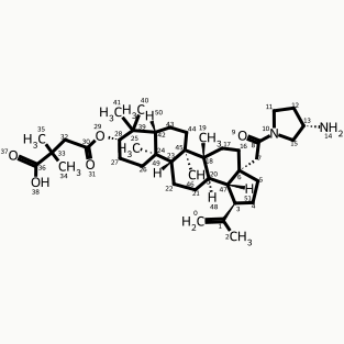 C=C(C)[C@@H]1CC[C@]2(CC(=O)N3CC[C@H](N)C3)CC[C@]3(C)[C@H](CC[C@@H]4[C@@]5(C)CC[C@H](OC(=O)CC(C)(C)C(=O)O)C(C)(C)[C@@H]5CC[C@]43C)[C@@H]12